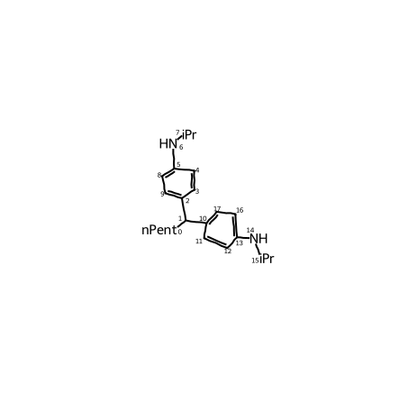 CCCCCC(c1ccc(NC(C)C)cc1)c1ccc(NC(C)C)cc1